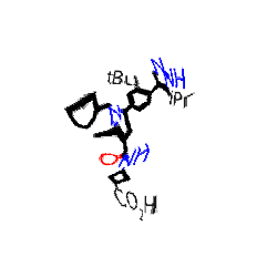 Cc1c(C(=O)N[C@H]2C[C@H](C(=O)O)C2)cc(-c2ccc(-c3cn[nH]c3C(C)C)c(C(C)(C)C)c2)n1CC1CCCCC1